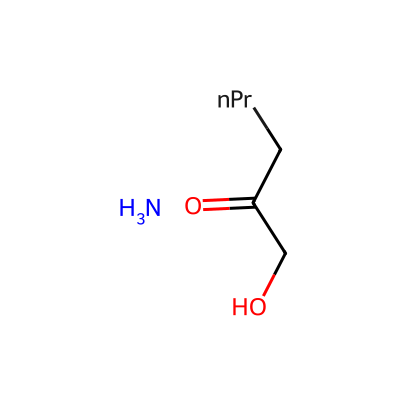 CCCCC(=O)CO.N